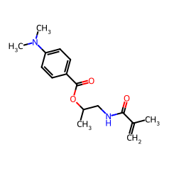 C=C(C)C(=O)NCC(C)OC(=O)c1ccc(N(C)C)cc1